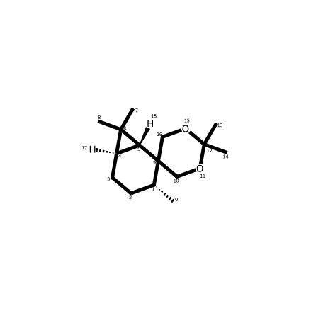 C[C@@H]1CC[C@@H]2[C@H](C2(C)C)C12COC(C)(C)OC2